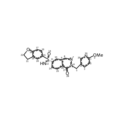 COc1ccc(Cn2ncc3cc([S@@](=N)(=O)c4ccc5c(c4)CCO5)ccc3c2=O)cn1